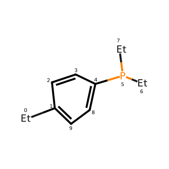 CCc1ccc(P(CC)CC)cc1